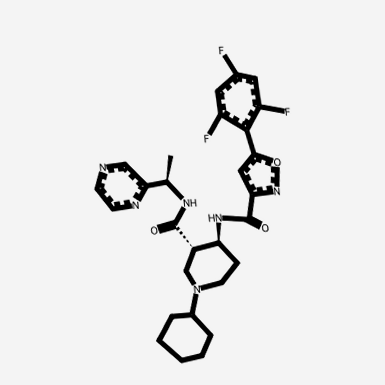 C[C@@H](NC(=O)[C@H]1CN(C2CCCCC2)CC[C@@H]1NC(=O)c1cc(-c2c(F)cc(F)cc2F)on1)c1cnccn1